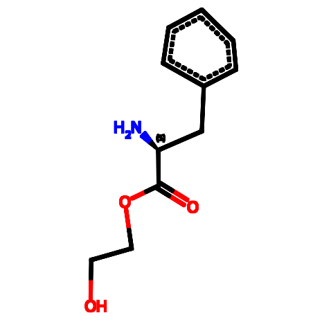 N[C@@H](Cc1ccccc1)C(=O)OCCO